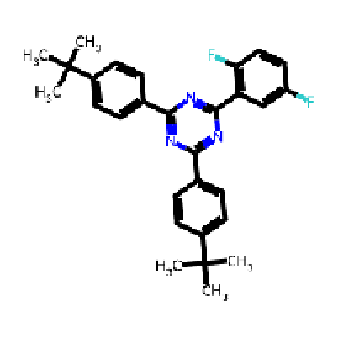 CC(C)(C)c1ccc(-c2nc(-c3ccc(C(C)(C)C)cc3)nc(-c3cc(F)ccc3F)n2)cc1